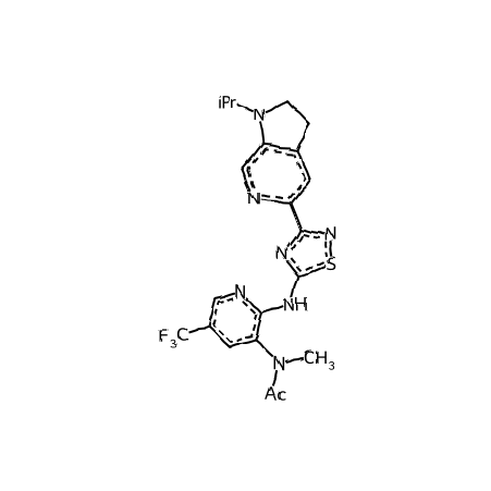 CC(=O)N(C)c1cc(C(F)(F)F)cnc1Nc1nc(-c2cc3c(cn2)N(C(C)C)CC3)ns1